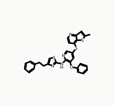 Cc1cc2nccc(Sc3cnc(Nc4nc(CCc5ccccc5)cs4)c(Oc4ccccc4)c3)c2s1